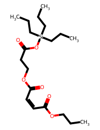 CCCOC(=O)/C=C\C(=O)OCCC(=O)O[Si](CCC)(CCC)CCC